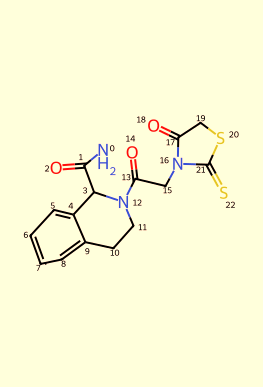 NC(=O)C1c2cc[c]cc2CCN1C(=O)CN1C(=O)CSC1=S